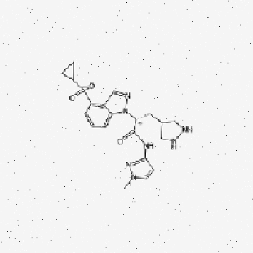 Cn1ccc(NC(=O)[C@@H](CC2CNNC2)n2ncc3c(S(=O)(=O)C4CC4)cccc32)n1